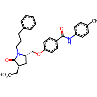 N#Cc1ccc(NC(=O)c2ccc(OC[C@@H]3C[C@@H](CC(=O)O)C(=O)N3CCCc3ccccc3)cc2)cc1